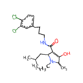 C=C1C(O)=C(C(=O)NCCCc2ccc(Cl)c(Cl)c2)C(CC(C)C)N1C